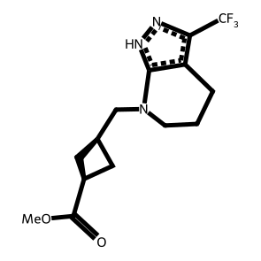 COC(=O)C12CC(CN3CCCc4c(C(F)(F)F)n[nH]c43)(C1)C2